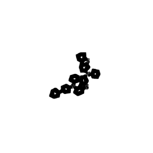 c1ccc(-c2ccc(N(c3ccccc3)c3cccc4sc5cc(N(c6ccccc6)c6ccc7c(c6)sc6ccccc67)ccc5c34)cc2)cc1